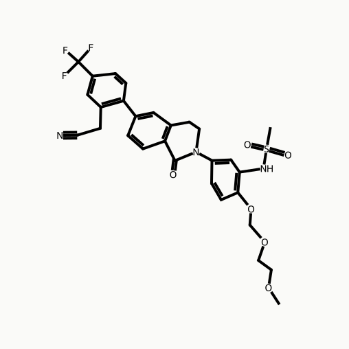 COCCOCOc1ccc(N2CCc3cc(-c4ccc(C(F)(F)F)cc4CC#N)ccc3C2=O)cc1NS(C)(=O)=O